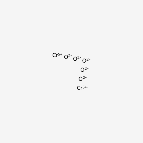 [Cr+5].[Cr+5].[O-2].[O-2].[O-2].[O-2].[O-2]